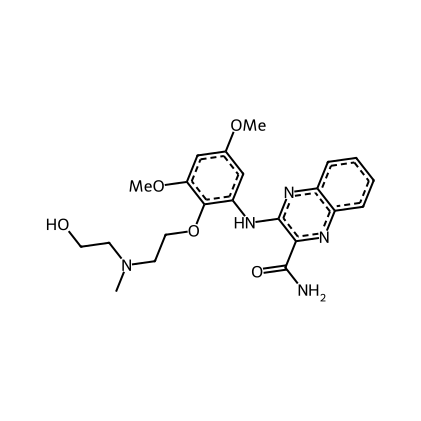 COc1cc(Nc2nc3ccccc3nc2C(N)=O)c(OCCN(C)CCO)c(OC)c1